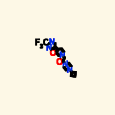 O=C(CN1CCc2c(oc3nc(C(F)(F)F)ncc23)C1)N1CCN(C2CCC2)CC1